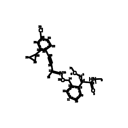 CNC(=O)/C(=N/OC)c1ccccc1CO/N=C(\C)C#Cc1ccc(Cl)cc1C1CC1